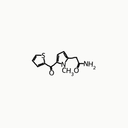 Cn1c(CC(N)=O)ccc1C(=O)c1cccs1